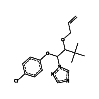 C=CCOC(C(Oc1ccc(Cl)cc1)n1cncn1)C(C)(C)C